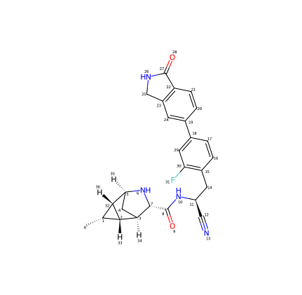 C[C@H]1[C@H]2[C@H]3C[C@H](N[C@@H]3C(=O)N[C@H](C#N)Cc3ccc(-c4ccc5c(c4)CNC5=O)cc3F)[C@@H]12